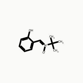 CC(C)(C)[N+]([O-])=Cc1ccccc1O